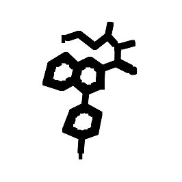 CC(CCF)N(C)C(=O)c1cc2ccccc2c(-c2ccc(I)cc2)n1